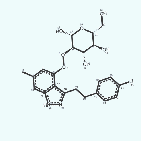 Cc1cc(OO[C@@H]2[C@@H](O)[C@H](O)[C@@H](CO)O[C@H]2O)c2c(CCc3ccc(Cl)cc3)n[nH]c2c1